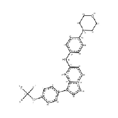 FC(F)(F)Oc1ccc(-c2cnn3ccc(Nc4ccc(N5CCOCC5)cc4)nc23)cc1